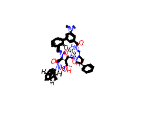 COc1c(CN2O[C@@H](CO)[C@H]([C@H](C)O)C2C(=O)NC2C[C@H]3C[C@@H]([C@@H]2C)C3(C)C)cccc1-c1cc(C(=O)NC[C@@H]2C[C@@H](c3ccccc3)CN2)cc(N(C)C)c1